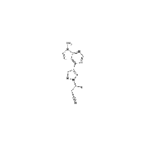 N#CC[C@H](I)n1cc(-c2ncnc3c2ccn3P)cn1